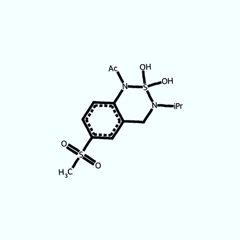 CC(=O)N1c2ccc(S(C)(=O)=O)cc2CN(C(C)C)S1(O)O